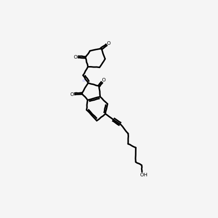 O=C1CCC(/C=C2/C(=O)c3ccc(C#CCCCCCO)cc3C2=O)C(=O)C1